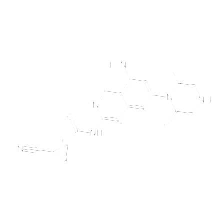 CC1CNCC(=O)N1c1cc(N)c2cnc(NC(=O)[C@@H]3CC3C#N)cc2c1